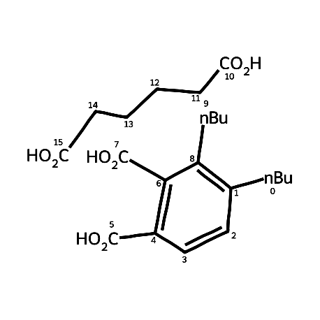 CCCCc1ccc(C(=O)O)c(C(=O)O)c1CCCC.O=C(O)CCCCC(=O)O